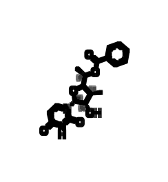 C[C@@H]1C([C@@H](C)OC(=O)c2ccccc2)O[C@@H](n2ccc(=O)[nH]c2=O)[C@H]1O